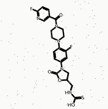 O=C(c1ccc(F)nc1)N1CCN(c2ccc(N3CC(CNC(O)=S)OC3=O)cc2F)CC1